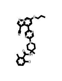 CCCOc1cc(-c2cnc(N3CCC(C)(NC(=O)c4c(C)cccc4Cl)CC3)cn2)c2c(C#N)cnn2c1